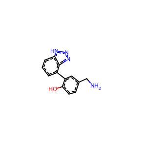 NCc1ccc(O)c(-c2cccc3[nH]nnc23)c1